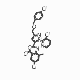 Cc1cc(Cl)cc2c(=O)oc(-c3cc(COCc4ccc(Cl)cc4)nn3-c3ncccc3Cl)nc12